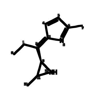 CC/C(=C1\C=CC(C)=N1)[C@H]1NC1C